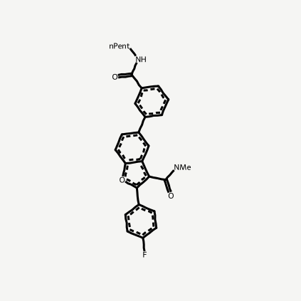 CCCCCNC(=O)c1cccc(-c2ccc3oc(-c4ccc(F)cc4)c(C(=O)NC)c3c2)c1